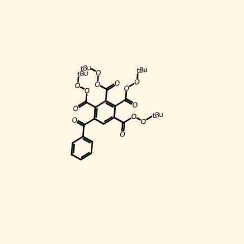 CC(C)(C)OOC(=O)c1cc(C(=O)c2ccccc2)c(C(=O)OOC(C)(C)C)c(C(=O)OOC(C)(C)C)c1C(=O)OOC(C)(C)C